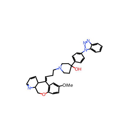 COc1ccc2c(c1)C(=CCCN1CCC(O)(c3ccc(-n4nnc5ccccc54)cc3)CC1)C1C=CC=NC1CO2